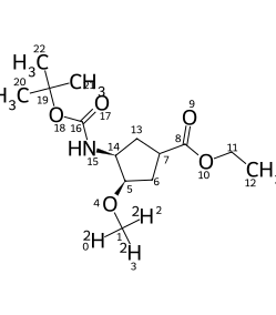 [2H]C([2H])([2H])O[C@@H]1CC(C(=O)OCC)C[C@@H]1NC(=O)OC(C)(C)C